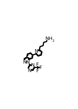 NCCCCc1cccc(-c2ccc3cnn(-c4cncc(C(F)(F)F)n4)c3c2)n1